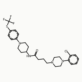 O=C(CCCN1CCN(c2ccccc2Cl)CC1)NC1CCN(c2ccc(SC(F)(F)F)cc2)CC1